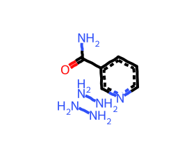 NC(=O)c1cccnc1.NN.NN